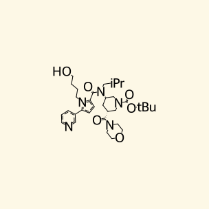 CC(C)CN(C(=O)c1ccc(-c2cccnc2)n1CCCCO)[C@H]1C[C@@H](C(=O)N2CCOCC2)CN(C(=O)OC(C)(C)C)C1